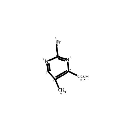 Cc1cnc(C(C)C)nc1C(=O)O